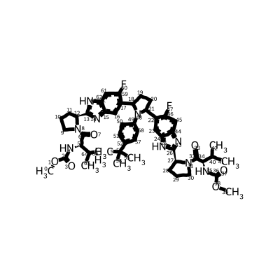 COC(=O)N[C@H](C(=O)N1CCC[C@H]1c1nc2cc(C3CCC(c4cc5[nH]c([C@@H]6CCCN6C(=O)[C@@H](NC(=O)OC)C(C)C)nc5cc4F)N3c3ccc(C(C)(C)C)cc3)c(F)cc2[nH]1)C(C)C